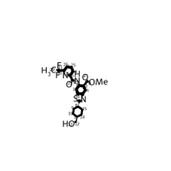 COC(=O)c1cc2nc([C@H]3CC[C@H](CO)CC3)sc2cc1NC(=O)c1cccc(C(C)(F)F)n1